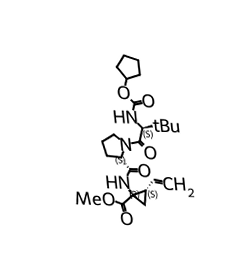 C=C[C@@H]1C[C@]1(NC(=O)[C@@H]1CCCN1C(=O)[C@@H](NC(=O)OC1CCCC1)C(C)(C)C)C(=O)OC